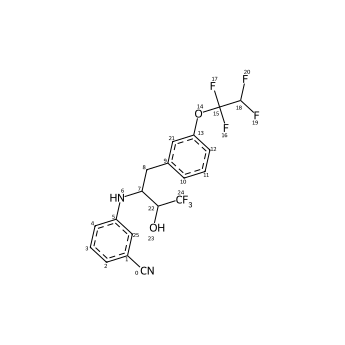 N#Cc1cccc(NC(Cc2cccc(OC(F)(F)C(F)F)c2)C(O)C(F)(F)F)c1